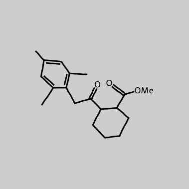 COC(=O)C1CCCCC1C(=O)Cc1c(C)cc(C)cc1C